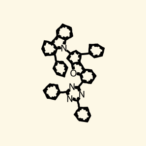 c1ccc(-c2nc(-c3ccccc3)nc(-c3cccc4c3oc3cc(-n5c6ccccc6c6cccc(-c7ccccc7)c65)cc(-c5ccccc5)c34)n2)cc1